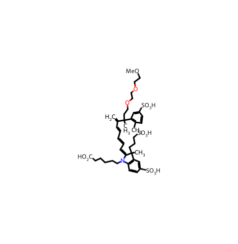 C=C(/C=C/C=C/C=C1/N(CCCCCC(=O)O)c2ccc(S(=O)(=O)O)cc2C1(C)CCCS(=O)(=O)O)C(C)(CCOCCOCCOC)c1cc(S(=O)(=O)O)ccc1C